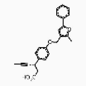 CC#C[C@@H](CC(=O)O)c1ccc(OCc2cc(-c3ccccc3)oc2C)cc1